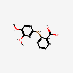 COc1ccc(Sc2ccccc2C(=O)O)cc1OC